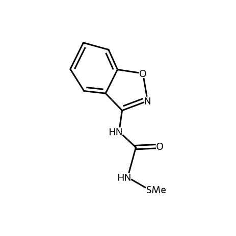 CSNC(=O)Nc1noc2ccccc12